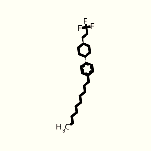 CCCCCCCCCCc1ccc([C@H]2CC[C@H](CCC(F)(F)F)CC2)cc1